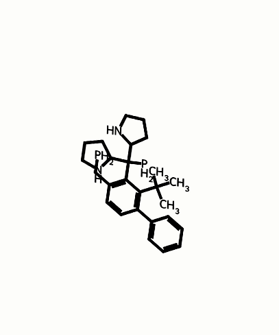 CC(C)(C)c1c(-c2ccccc2)ccc(CP)c1C(P)(C1CCCN1)C1CCCN1